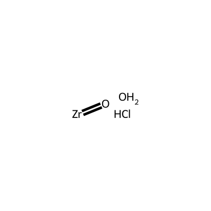 Cl.O.[O]=[Zr]